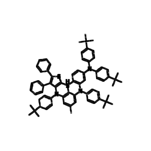 Cc1cc2c3c(c1)N(c1ccc(C(C)(C)C)cc1)c1cc(N(c4ccc(C(C)(C)C)cc4)c4ccc(C(C)(C)C)cc4)ccc1[SH]3c1sc(-c3ccccc3)c(-c3ccccc3)c1N2C1=CCC(C(C)(C)C)C=C1